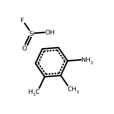 Cc1cccc(N)c1C.O=[Si](O)F